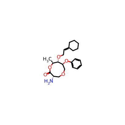 C[C@@H]1OC(=O)[C@@H](N)COC[C@H](Oc2ccccc2)[C@H]1OCC=C1CCCCC1